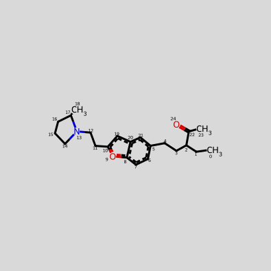 CCC(CCc1ccc2oc(CCN3CCC[C@H]3C)cc2c1)C(C)=O